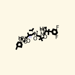 CN[C@H](C(=O)N[C@H](C(=O)N(C)[C@H](/C=C(\C)C(=O)NS(=O)(=O)c1ccc(C)cc1)C(C)C)C(C)(C)C)C(C)(C)c1cc(F)cc(F)c1